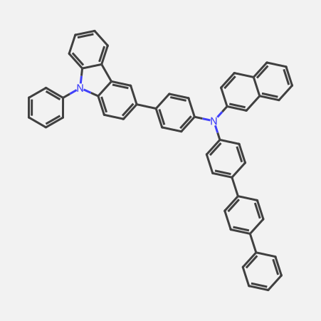 c1ccc(-c2ccc(-c3ccc(N(c4ccc(-c5ccc6c(c5)c5ccccc5n6-c5ccccc5)cc4)c4ccc5ccccc5c4)cc3)cc2)cc1